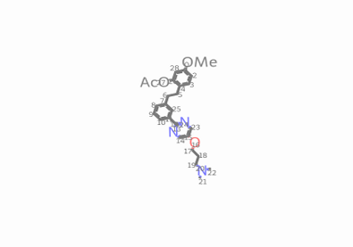 COc1ccc(CCc2cccc(-c3ncc(OCCCN(C)C)cn3)c2)c(OC(C)=O)c1